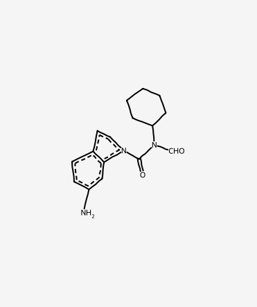 Nc1ccc2ccn(C(=O)N(C=O)C3CCCCC3)c2c1